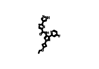 CCOC1CC(n2cc(NC(=O)c3csc(-c4cn[nH]c4)n3)c(-c3cc(F)ccn3)n2)C1